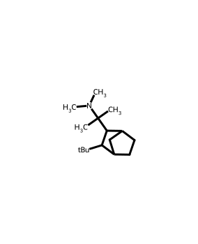 CN(C)C(C)(C)C1C2CCC(C2)C1C(C)(C)C